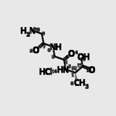 C[C@H](NC(=O)CNC(=O)CN)C(=O)O.Cl